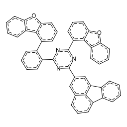 c1ccc(-c2cccc3oc4ccccc4c23)c(-c2nc(-c3cc4c5c(cccc5c3)-c3ccccc3-4)nc(-c3cccc4oc5ccccc5c34)n2)c1